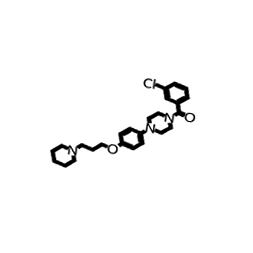 O=C(c1cccc(Cl)c1)N1CCN(c2ccc(OCCCN3CCCCC3)cc2)CC1